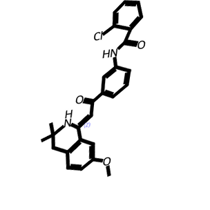 COc1ccc2c(c1)/C(=C/C(=O)c1cccc(NC(=O)c3ccccc3Cl)c1)NC(C)(C)C2